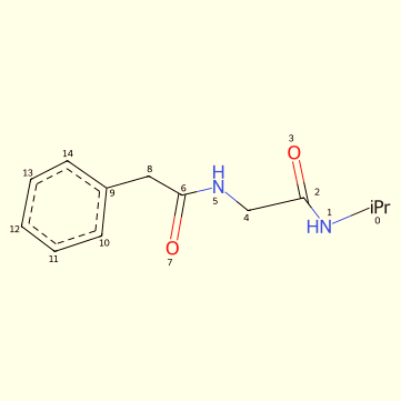 CC(C)NC(=O)CNC(=O)Cc1ccccc1